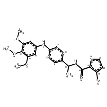 COc1cc(Nc2ncc(C(C)NC(=O)c3sccc3Br)nn2)cc(OC)c1OC